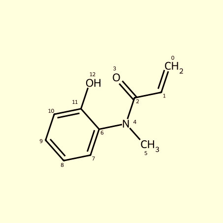 C=CC(=O)N(C)c1ccccc1O